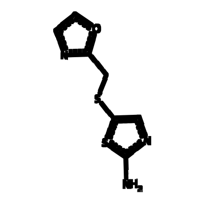 Nc1ncc(SCc2ncco2)s1